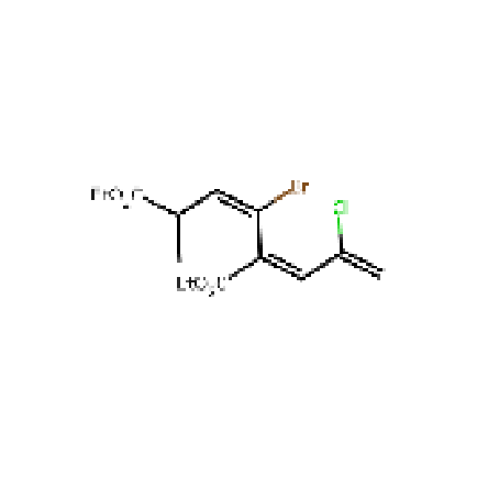 C=C(Cl)/C=C(C(=O)OCC)\C(Br)=C/C(C)C(=O)OCC